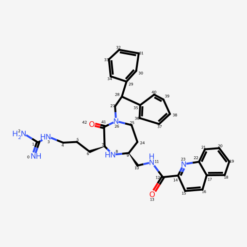 N=C(N)NCCC[C@@H]1N[C@H](CNC(=O)c2ccc3ccccc3n2)CCN(CC(c2ccccc2)c2ccccc2)C1=O